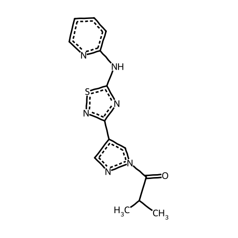 CC(C)C(=O)n1cc(-c2nsc(Nc3ccccn3)n2)cn1